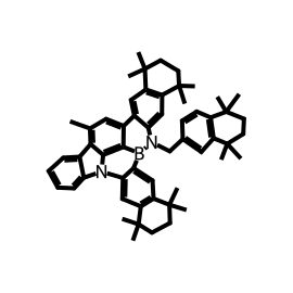 Cc1cc2c3c4c1c1ccccc1n4-c1cc4c(cc1B3N(Cc1ccc3c(c1)C(C)(C)CCC3(C)C)c1cc3c(cc1-2)C(C)(C)CCC3(C)C)C(C)(C)CCC4(C)C